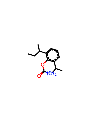 CCC(C)c1cccc(C(C)C)c1OC(N)=O